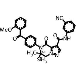 COc1ccccc1C(=O)c1ccc(N2C(=O)c3c(C(=O)Nc4cccc(C#N)c4)cnn3C[C@]2(C)[SiH3])cc1